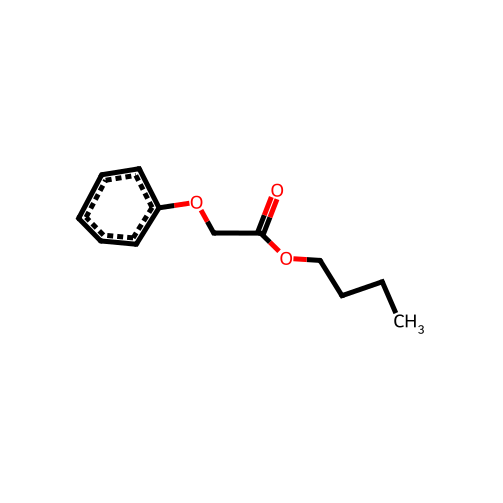 CCCCOC(=O)COc1ccccc1